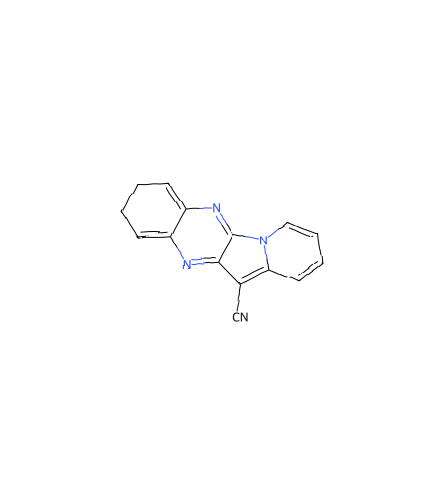 N#Cc1c2nc3c(nc2n2ccccc12)=CCCC=3